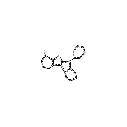 Brc1cccc2c1sc1c2c2ccccc2n1-c1ccccc1